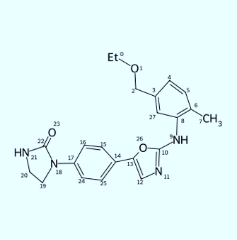 CCOCc1ccc(C)c(Nc2ncc(-c3ccc(N4CCNC4=O)cc3)o2)c1